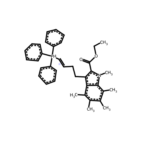 CCOC(=O)c1c(CC/C=C/[PH](c2ccccc2)(c2ccccc2)c2ccccc2)c2c(C)c(C)c(C)c(C)c2n1C